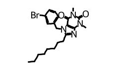 CCCCCCCCc1nc2c(c(=O)n(C)c(=O)n2C)n1Cc1cccc(Br)c1